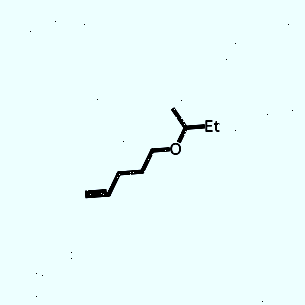 C=CCCCOC(C)CC